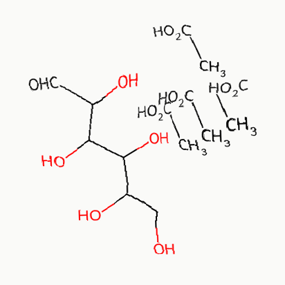 CC(=O)O.CC(=O)O.CC(=O)O.CC(=O)O.O=CC(O)C(O)C(O)C(O)CO